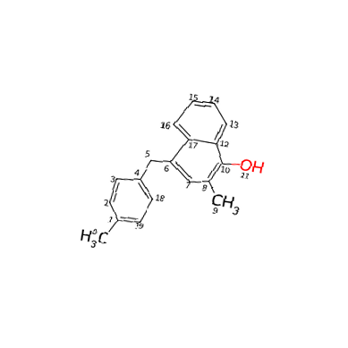 Cc1ccc(Cc2cc(C)c(O)c3ccccc23)cc1